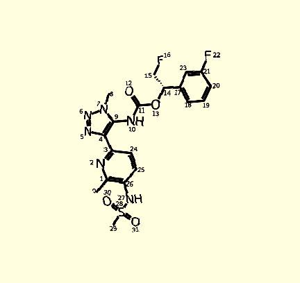 Cc1nc(-c2nnn(C)c2NC(=O)O[C@H](CF)c2cccc(F)c2)ccc1NS(C)(=O)=O